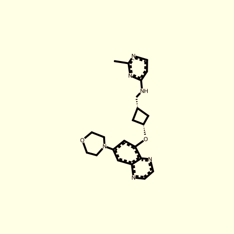 Cc1nccc(NC[C@H]2C[C@@H](Oc3cc(N4CCOCC4)cc4nccnc34)C2)n1